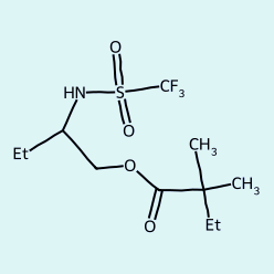 CCC(COC(=O)C(C)(C)CC)NS(=O)(=O)C(F)(F)F